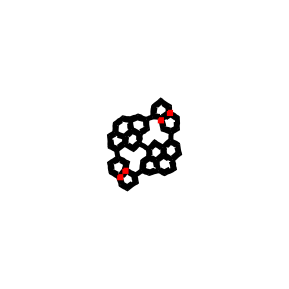 c1ccc(-c2cc3ccc4ccc(-c5ccccc5)c5cc(-c6cc7c(-c8ccccc8)ccc8ccc9cc(-c%10ccccc%10)cc6c9c87)c(c2)c3c45)cc1